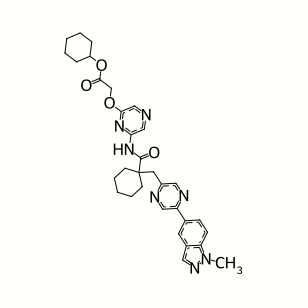 Cn1ncc2cc(-c3cnc(CC4(C(=O)Nc5cncc(OCC(=O)OC6CCCCC6)n5)CCCCC4)cn3)ccc21